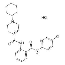 Cl.O=C(Nc1ccccc1C(=O)Nc1ccc(Cl)cn1)C1=CCN(C2CCCCC2)CC1